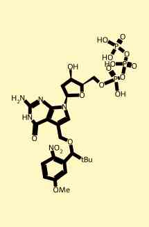 COc1ccc([N+](=O)[O-])c(C(OCc2cn([C@H]3C[C@@H](O)[C@@H](COP(=O)(O)OP(=O)(O)OP(=O)(O)O)O3)c3nc(N)[nH]c(=O)c23)C(C)(C)C)c1